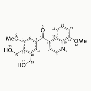 COc1cc(C(=O)c2ccnc3c(OC)cccc23)cc(CO)c1CO